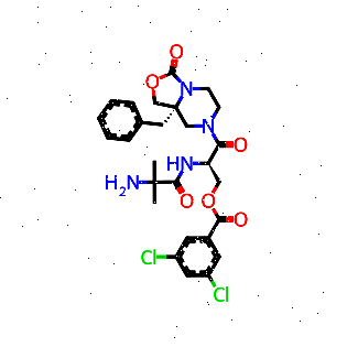 CC(C)(N)C(=O)N[C@H](COC(=O)c1cc(Cl)cc(Cl)c1)C(=O)N1CCN2C(=O)OC[C@]2(Cc2ccccc2)C1